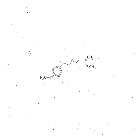 CCN(C)CCOCCc1ccc(OC)cc1